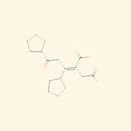 O=C(O)CC(C(=O)O)=C(CC(=O)C1CCCC1)C1CCCC1